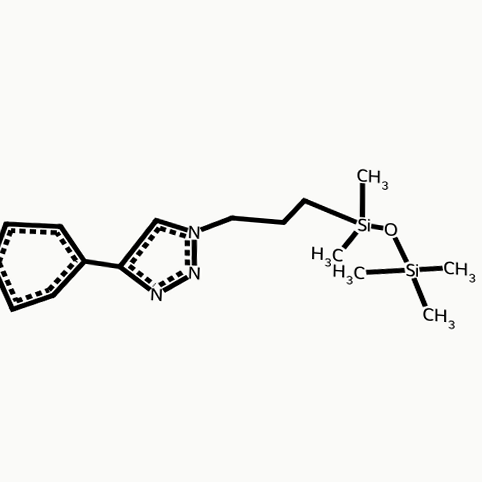 C[Si](C)(C)O[Si](C)(C)CCCn1cc(-c2ccccc2)nn1